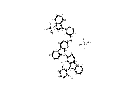 F[B-](F)(F)F.[2H]C([2H])([2H])[n+]1cn(-c2cccc(Oc3ccc4c5ccccc5n(-c5cc6c(cn5)c5ccccc5n6-c5c(Cl)cccc5Cl)c4c3)c2)c2ccccc21